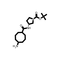 CC(C)(C)OC(=O)N1CC[C@@H](NC(=O)C2CCCC(N)CCC2)C1